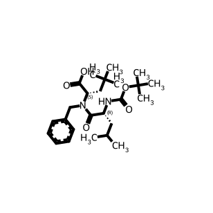 CC(C)C[C@@H](NC(=O)OC(C)(C)C)C(=O)N(Cc1ccccc1)[C@@H](CC(C)(C)C)C(=O)O